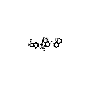 O=S(=O)(Nc1ccc2[nH]ncc2c1)c1ccc(Sc2cccc3cccnc23)c2nonc12